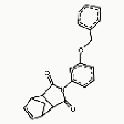 O=C1C2C3C=CC(C3)C2C(=O)N1c1cccc(OCc2ccccc2)c1